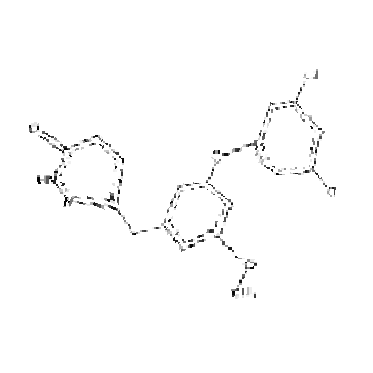 COc1cc(Cc2ccc(=O)[nH]n2)cc(Oc2cc(Cl)cc(Cl)c2)c1